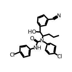 CCCC(C(O)c1cccc(C#N)c1)N(C(=O)Nc1ccc(Cl)cc1)c1ccc(Cl)cc1